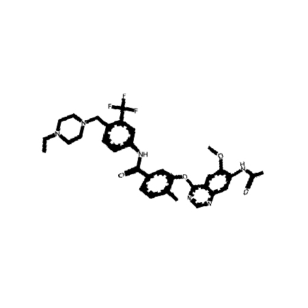 CCN1CCN(Cc2ccc(NC(=O)c3ccc(C)c(Oc4ncnc5cc(NC(C)=O)c(OC)cc45)c3)cc2C(F)(F)F)CC1